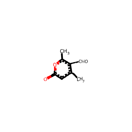 Cc1cc(=O)oc(C)c1C=O